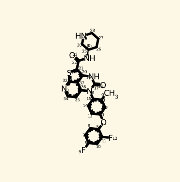 Cc1cc(Oc2ccc(F)cc2F)ccc1N1C(=O)Nc2c(C(=O)N[C@@H]3CCCNC3)sc3nccc1c23